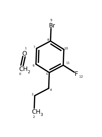 C=O.CCCc1ccc(Br)cc1F